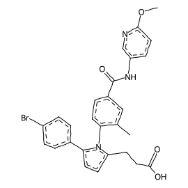 COc1ccc(NC(=O)c2ccc(-n3c(CCC(=O)O)ccc3-c3ccc(Br)cc3)c(C)c2)cn1